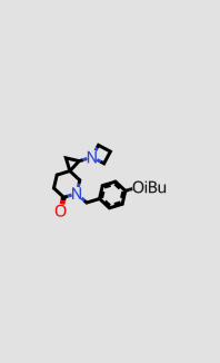 CC(C)COc1ccc(CN2CC3(CCC2=O)CC3N2CCC2)cc1